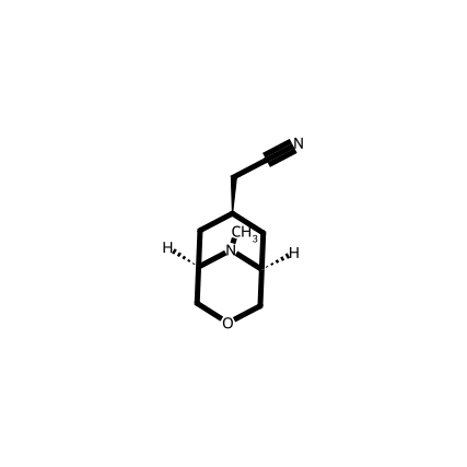 CN1[C@@H]2COC[C@H]1C[C@@H](CC#N)C2